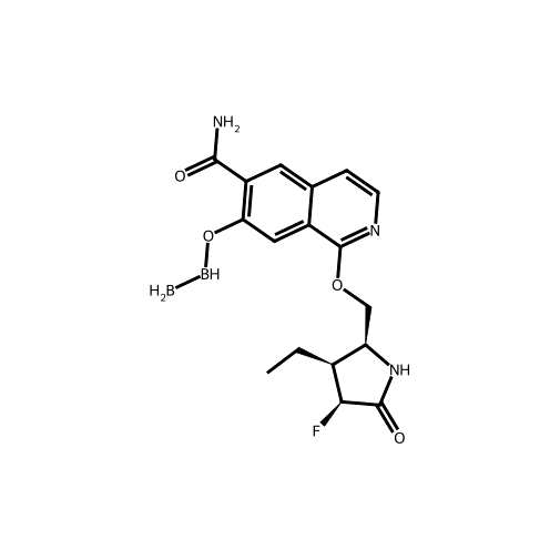 BBOc1cc2c(OC[C@H]3NC(=O)[C@@H](F)[C@H]3CC)nccc2cc1C(N)=O